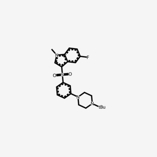 Cn1cc(S(=O)(=O)c2cccc(N3CCN(C(C)(C)C)CC3)c2)c2cc(F)ccc21